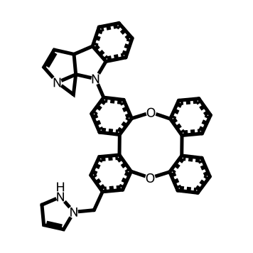 C1=CN(Cc2ccc3c(c2)Oc2ccccc2-c2ccccc2Oc2cc(N4c5ccccc5C5C=CN6CC564)ccc2-3)NC1